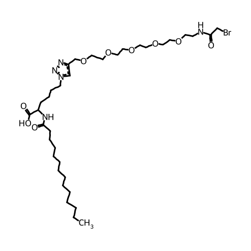 CCCCCCCCCCCCCC(=O)NC(CCCCn1cc(COCCOCCOCCOCCOCCNC(=O)CBr)nn1)C(=O)O